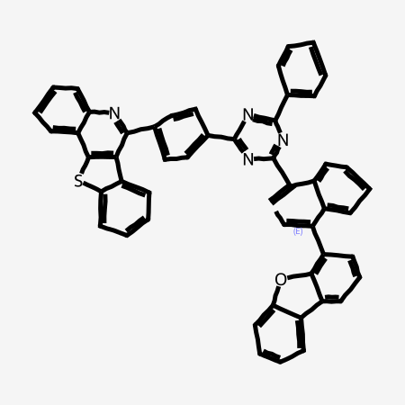 C=C(c1nc(-c2ccccc2)nc(-c2ccc(-c3nc4ccccc4c4sc5ccccc5c34)cc2)n1)c1ccccc1/C(=C\C)c1cccc2c1oc1ccccc12